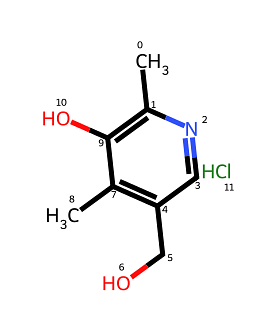 Cc1ncc(CO)c(C)c1O.Cl